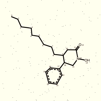 CCCCCCCCCC1CC(=O)N(O)CC1c1ccccc1